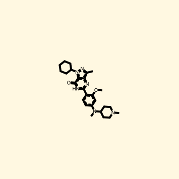 COc1cc(N(C)C2CCN(C)CC2)ccc1-c1nc2c(C)nn(C3CCCCC3)c2c(=O)[nH]1